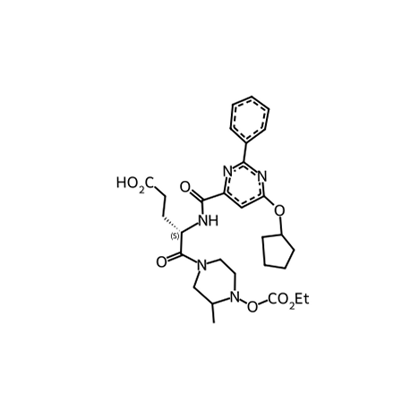 CCOC(=O)ON1CCN(C(=O)[C@H](CCC(=O)O)NC(=O)c2cc(OC3CCCC3)nc(-c3ccccc3)n2)CC1C